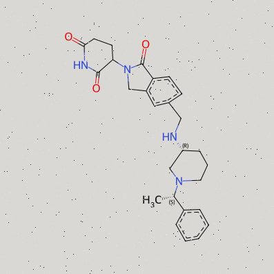 C[C@@H](c1ccccc1)N1CCC[C@@H](NCc2ccc3c(c2)CN(C2CCC(=O)NC2=O)C3=O)C1